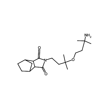 CC(C)(N)CCOC(C)(C)CCN1C(=O)C2C3CCC(C3)C2C1=O